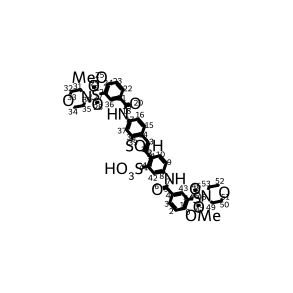 COc1ccc(C(=O)Nc2ccc(C=Cc3ccc(NC(=O)c4ccc(OC)c(S(=O)(=O)N5CCOCC5)c4)cc3S(=O)(=O)O)c(S(=O)(=O)O)c2)cc1S(=O)(=O)N1CCOCC1